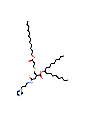 CCCCCCCCCCCCOC(=O)CCSCC(CC(=O)NCCCn1ccnc1)C(=O)OC(CCCCCCCC)CCCCCCCC